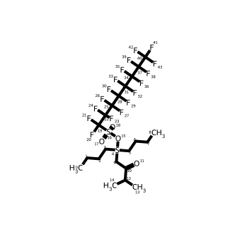 CCCCS(CCCC)(CC(=O)C(C)C)OS(=O)(=O)C(F)(F)C(F)(F)C(F)(F)C(F)(F)C(F)(F)C(F)(F)C(F)(F)C(F)(F)F